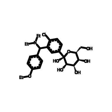 CCOc1ccc(C(c2cc([C@]3(O)O[C@H](CO)[C@@H](O)[C@H](O)[C@H]3O)ccc2Cl)N(CC)CC)cc1